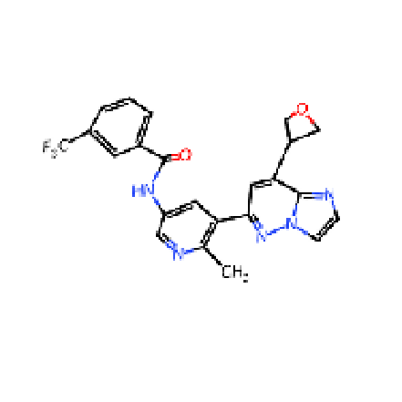 Cc1ncc(NC(=O)c2cccc(C(F)(F)F)c2)cc1-c1cc(C2COC2)c2nccn2n1